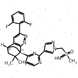 CC1(C)C[C@H]2CC[C@]1(c1ccnc(-c3cnn(CS(C)(=N)=O)c3)n1)c1nnc(-c3c(F)cccc3F)cc12